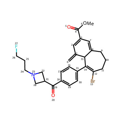 C=C1C=C(C(=O)OC)C=C2CCCC(Br)=C(c3ccc(C(=O)C4CN(CCCF)C4)cc3)C12